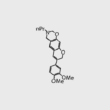 CCCN1COc2cc3c(cc2C1)C=C(c1ccc(OC)c(OC)c1)CO3